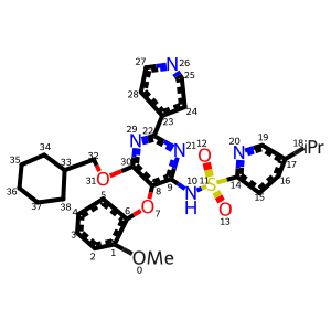 COc1ccccc1Oc1c(NS(=O)(=O)c2ccc(C(C)C)cn2)nc(-c2ccncc2)nc1OCC1CCCCC1